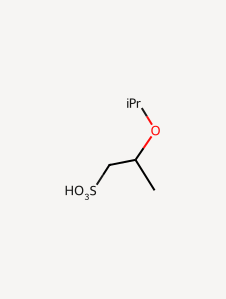 CC(C)OC(C)CS(=O)(=O)O